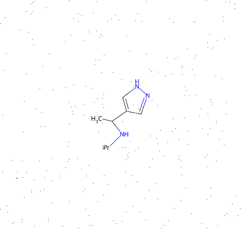 CC(C)NC(C)c1cn[nH]c1